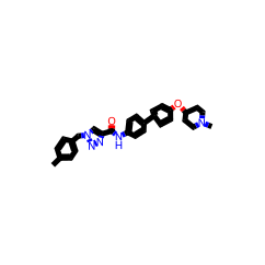 Cc1ccc(Cn2cc(C(=O)Nc3ccc(-c4ccc(OC5CCN(C)CC5)cc4)cc3)nn2)cc1